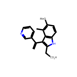 C=C(c1cccnc1)c1c(CC(=O)O)[nH]c2ccc(OC)c(C)c12